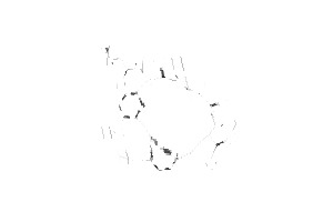 C[C@@H]1NC(=O)[C@@H](N(C)C(=O)CN=O)c2ccc(O)c(c2)-c2cc(ccc2O)CC(C(=O)O)NC1=O